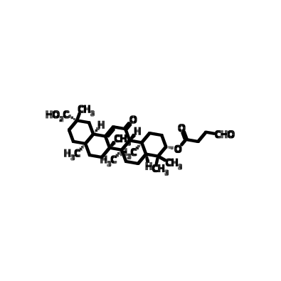 CC1(C)[C@@H](OC(=O)CCC=O)CC[C@]2(C)[C@H]3C(=O)C=C4[C@@H]5C[C@@](C)(C(=O)O)CC[C@]5(C)CC[C@@]4(C)[C@]3(C)CC[C@@H]12